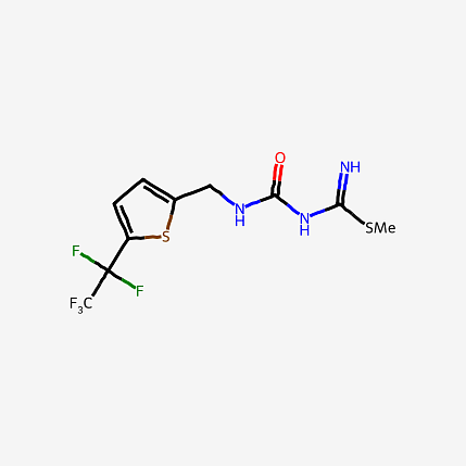 CSC(=N)NC(=O)NCc1ccc(C(F)(F)C(F)(F)F)s1